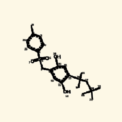 Cc1ccc(S(=O)(=O)Cc2cc(O)c(C(C)(C)CC(C)(C)C)cc2O)cc1